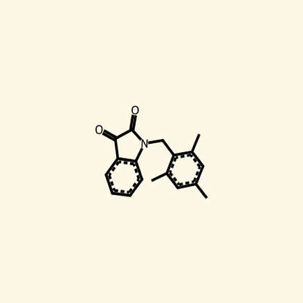 Cc1cc(C)c(CN2C(=O)C(=O)c3ccccc32)c(C)c1